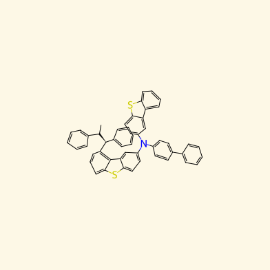 CC(c1ccccc1)[C@@H](c1ccccc1)c1cccc2sc3ccc(N(c4ccc(-c5ccccc5)cc4)c4ccc5sc6ccccc6c5c4)cc3c12